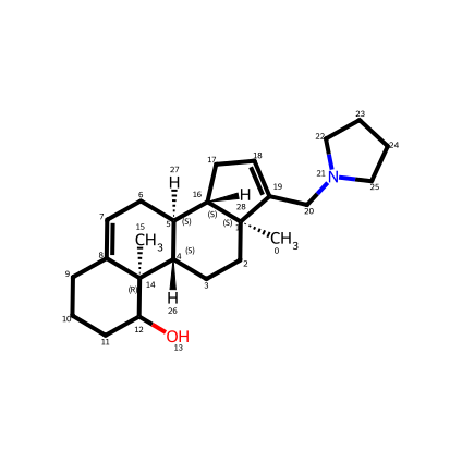 C[C@]12CC[C@H]3[C@@H](CC=C4CCCC(O)[C@@]43C)[C@@H]1CC=C2CN1CCCC1